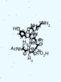 CC(=O)N[C@@H](C)C(=O)N[C@@H](C)C(=O)N[C@@H](CC(=O)O)C(=O)N[C@H](C(=O)N[C@@H](Cc1ccc(O)cc1)C(=O)N[C@@H](CCCCN)C(N)=O)C(C)C